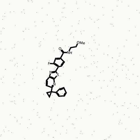 COCCNC(=O)c1ccc(-c2nc3ccc(C4(c5ccccc5)CC4)nc3s2)c(F)c1